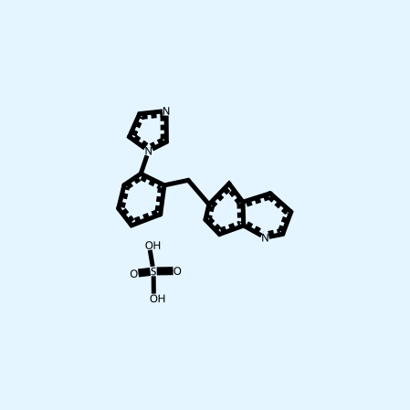 O=S(=O)(O)O.c1ccc(-n2ccnc2)c(Cc2ccc3ncccc3c2)c1